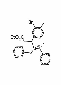 CCOC(=O)CC(c1ccc(C)c(Br)c1)N(Cc1ccccc1)[C@H](C)c1ccccc1